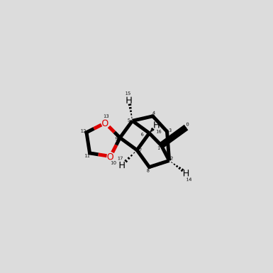 C=C1[C@H]2CC[C@H]3[C@@H]1[C@@H](C2)C31OCCO1